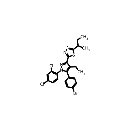 CCc1c(-c2nnc(C(C)CC)s2)nn(-c2ccc(Cl)cc2Cl)c1-c1ccc(Br)cc1